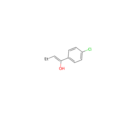 CC/C=C(\O)c1ccc(Cl)cc1